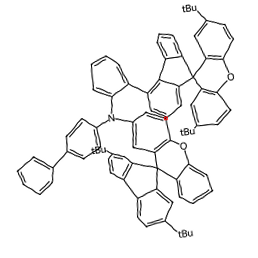 CC(C)(C)c1ccc2c(c1)C1(c3cc(C(C)(C)C)ccc3O2)c2ccccc2-c2c(-c3ccccc3N(c3ccc(-c4ccccc4)cc3)c3ccc4c(c3)C3(c5ccccc5O4)c4cc(C(C)(C)C)ccc4-c4ccc(C(C)(C)C)cc43)cccc21